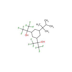 CC(C)C(C)(C)C1CC(C(O)(C(F)(F)F)C(F)(F)F)CC(C(O)(C(F)(F)F)C(F)(F)F)C1